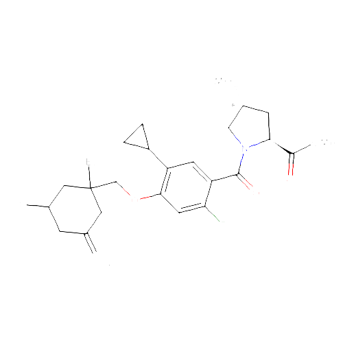 C=C1CC(C)CC(CC)(COc2cc(F)c(C(=O)N3C[C@H](OC)C[C@H]3C(=O)OC)cc2C2CC2)C1